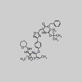 C/C=C(F)\C(=N/[C@]1(NNC2CCCCO2)C(C)[C@@H]1C)Oc1ccc(-c2noc(C[C@H](NC(=O)OC(C)(C)C)C(=O)OCc3ccccc3)n2)cc1